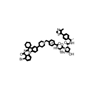 Cc1ncsc1-c1ccc([C@H](C)NC(=O)[C@@H]2C[C@@H](O)CN2C(=O)[C@@H](NC(=O)C23CCC(CN4CCC(c5ccc6c(c5)C5(CCCCC5)c5nc(=O)c7c(Br)cccc7n5-6)CC4)(CC2)CC3)C(C)(C)C)cc1